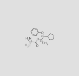 C[C@H](N)C(=O)O[C@@H](C)[C@H](Oc1ccccc1)C1CCCC1